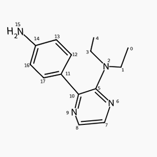 CCN(CC)c1nccnc1-c1ccc(N)cc1